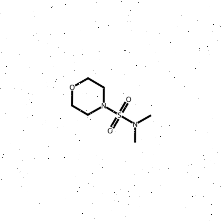 CN(C)S(=O)(=O)N1CCOCC1